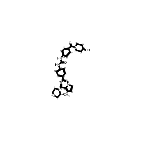 C[C@@H]1COCCN1c1nc(-c2ccc(NC(=O)Nc3ccc(C(=O)N4CCC(O)CC4)cc3)cc2)nn2cccc12